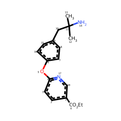 CCOC(=O)c1ccc(Oc2ccc(CC(C)(C)N)cc2)nc1